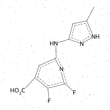 Cc1cc(Nc2cc(C(=O)O)c(F)c(F)n2)n[nH]1